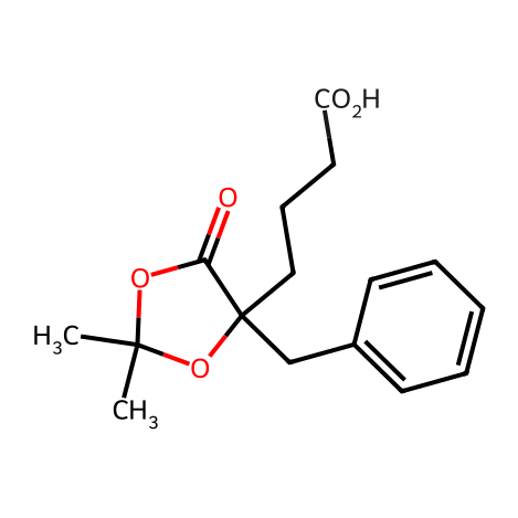 CC1(C)OC(=O)C(CCCC(=O)O)(Cc2ccccc2)O1